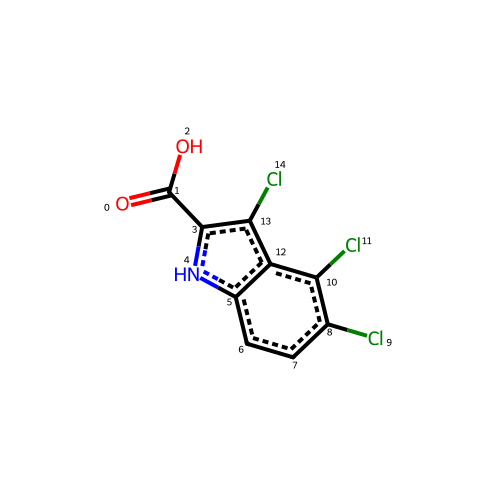 O=C(O)c1[nH]c2ccc(Cl)c(Cl)c2c1Cl